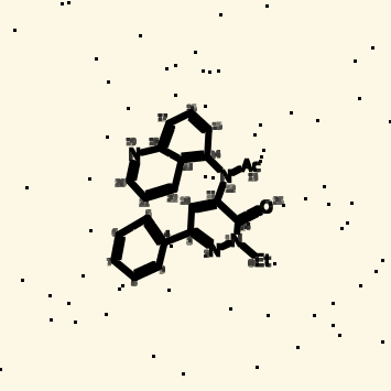 CCn1nc(-c2ccccc2)cc(N(C(C)=O)c2cccc3ncccc23)c1=O